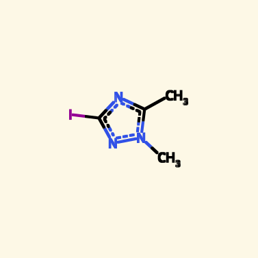 Cc1nc(I)nn1C